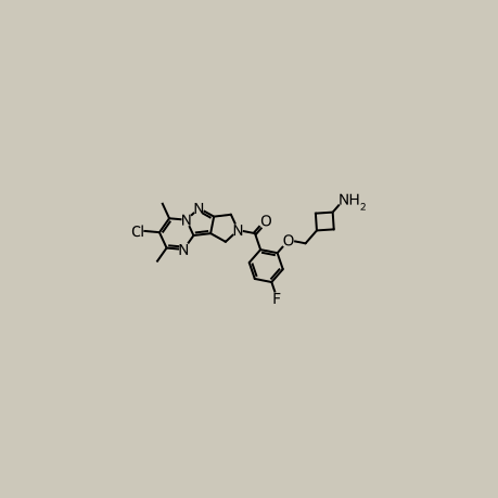 Cc1nc2c3c(nn2c(C)c1Cl)CN(C(=O)c1ccc(F)cc1OCC1CC(N)C1)C3